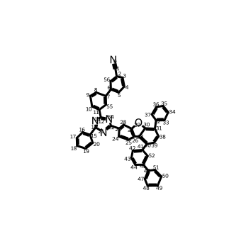 N#Cc1cccc(-c2cccc(-c3nc(-c4ccccc4)nc(-c4ccc5c(c4)oc4c(-c6ccccc6)ccc(-c6cccc(-c7ccccc7)c6)c45)n3)c2)c1